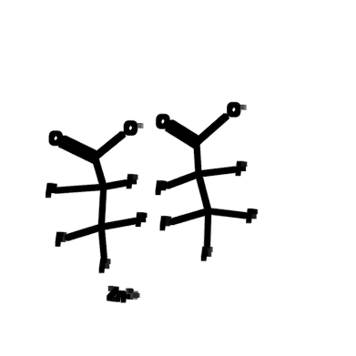 O=C([O-])C(F)(F)C(F)(F)F.O=C([O-])C(F)(F)C(F)(F)F.[Zn+2]